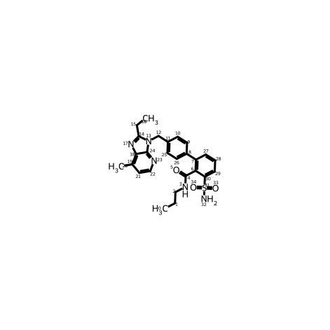 CCCNC(=O)c1c(-c2ccc(Cn3c(CC)nc4c(C)ccnc43)cc2)cccc1S(N)(=O)=O